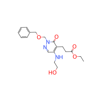 CCOC(=O)CCc1c(NCCO)cnn(COCc2ccccc2)c1=O